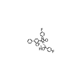 O=C1[C@H](CC[C@H](O)c2ccc(F)cc2)[C@@H](c2ccc(-c3ccccc3)cc2C(F)(F)F)N1c1ccc(F)cc1